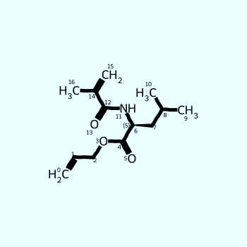 C=CCOC(=O)[C@H](CC(C)C)NC(=O)C(=C)C